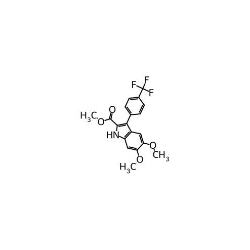 COC(=O)c1[nH]c2cc(OC)c(OC)cc2c1-c1ccc(C(F)(F)F)cc1